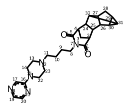 O=C1C2CC(C(=O)N1CCCCN1CCN(c3cnccn3)CC1)C1C2C2C3CC4C2C4C31